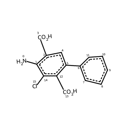 Nc1c(C(=O)O)cc(-c2ccccc2)c(C(=O)O)c1Cl